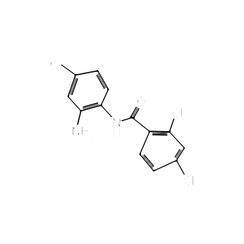 Nc1cc(Cl)ccc1NC(=O)c1ccc(Cl)cc1Cl